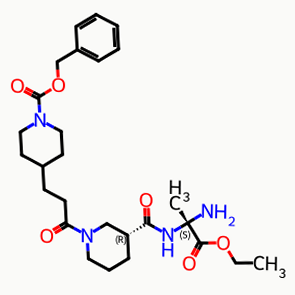 CCOC(=O)[C@@](C)(N)NC(=O)[C@@H]1CCCN(C(=O)CCC2CCN(C(=O)OCc3ccccc3)CC2)C1